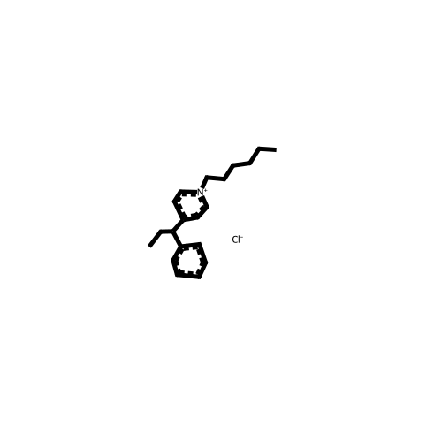 CCCCCC[n+]1ccc(C(CC)c2ccccc2)cc1.[Cl-]